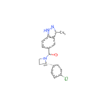 Cc1n[nH]c2ccc(C(=O)N3CC[C@H]3c3ccc(Cl)cc3)cc12